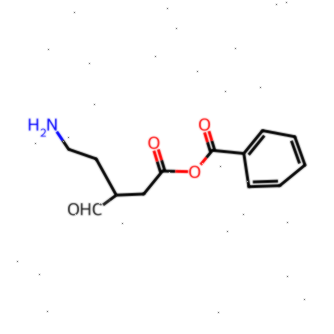 NCCC(C=O)CC(=O)OC(=O)c1ccccc1